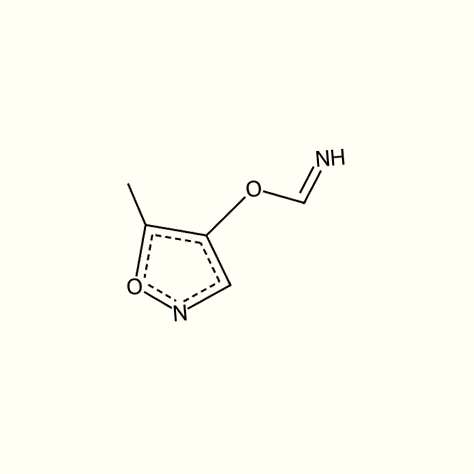 Cc1oncc1OC=N